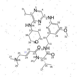 CCc1ncc(Nc2cc(CCNC(=O)[C@H](C(C)C)N(C)C(=O)/C=C/CN(C)C)cc(OC)c2)nc1NC1CCOCC1